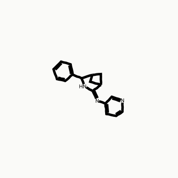 c1ccc(C2N/C(=N/c3cccnc3)C3CC2C3)cc1